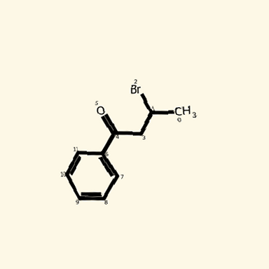 CC(Br)CC(=O)c1ccccc1